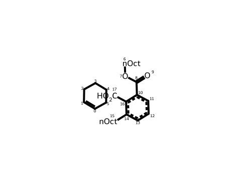 C1=CCCCC1.CCCCCCCCOC(=O)c1cccc(CCCCCCCC)c1C(=O)O